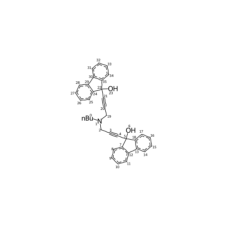 CCCCN(CC#CC1(O)c2ccccc2-c2ccccc21)CC#CC1(O)c2ccccc2-c2ccccc21